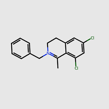 CC1=[N+](Cc2ccccc2)CCc2cc(Cl)cc(Cl)c21